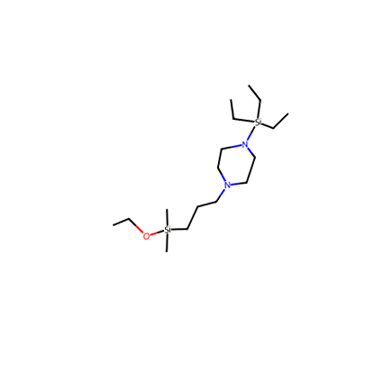 CCO[Si](C)(C)CCCN1CCN([Si](CC)(CC)CC)CC1